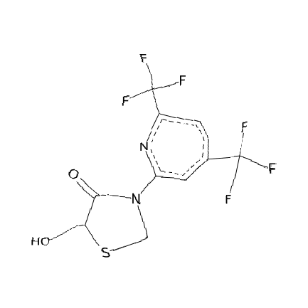 O=C1C(O)SCN1c1cc(C(F)(F)F)cc(C(F)(F)F)n1